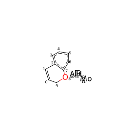 C1=Cc2ccccc2OC1.[AlH3].[Mo].[Ti]